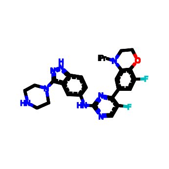 CC(C)N1CCOc2c(F)cc(-c3nc(Nc4ccc5[nH]nc(N6CCNCC6)c5c4)ncc3F)cc21